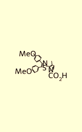 COc1ccc(-c2nc(-c3c(C)ccn3CC(=O)O)sc2-c2ccc(OC)cc2)cc1